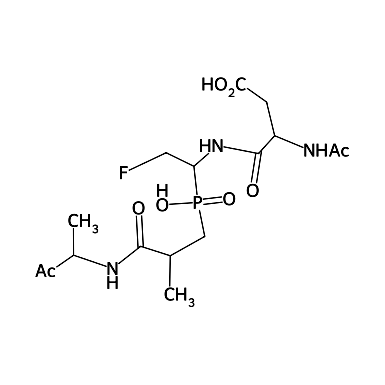 CC(=O)NC(CC(=O)O)C(=O)NC(CF)P(=O)(O)CC(C)C(=O)NC(C)C(C)=O